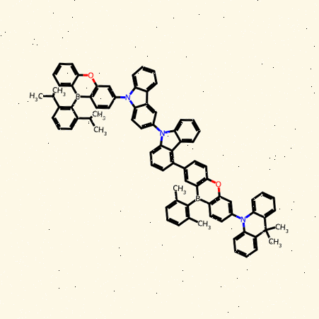 Cc1cccc(C)c1B1c2ccc(N3c4ccccc4C(C)(C)c4ccccc43)cc2Oc2ccc(-c3cccc4c3c3ccccc3n4-c3ccc4c(c3)c3ccccc3n4-c3ccc4c(c3)Oc3ccccc3B4c3c(C(C)C)cccc3C(C)C)cc21